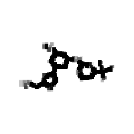 Cc1cc(Nc2nccc(C(F)(F)F)n2)cc(-c2cnc(CN)s2)c1